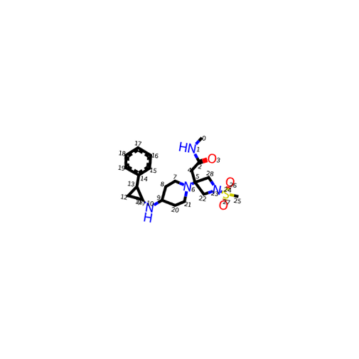 CNC(=O)CC1(N2CCC(N[C@@H]3CC3c3ccccc3)CC2)CN(S(C)(=O)=O)C1